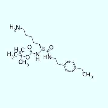 CCc1ccc(CCNC(=O)[C@H](CCCCCN)NC(=O)OC(C)(C)C)cc1